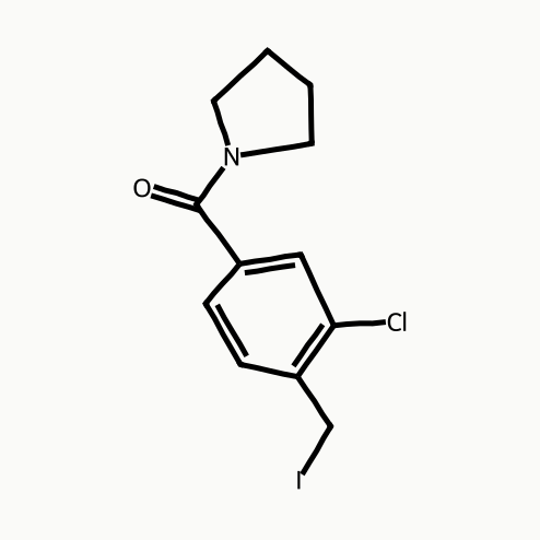 O=C(c1ccc(CI)c(Cl)c1)N1CCCC1